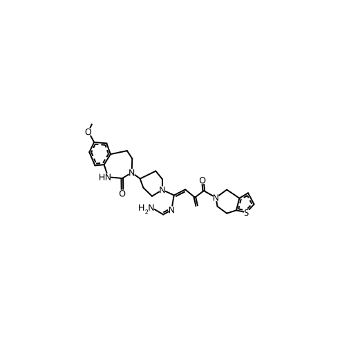 C=C(/C=C(\N=C/N)N1CCC(N2CCc3cc(OC)ccc3NC2=O)CC1)C(=O)N1CCc2sccc2C1